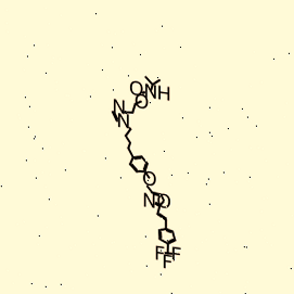 CC(C)NC(=O)OCCc1nccn1CCCCc1ccc(OCc2coc(/C=C/c3ccc(C(F)(F)F)cc3)n2)cc1